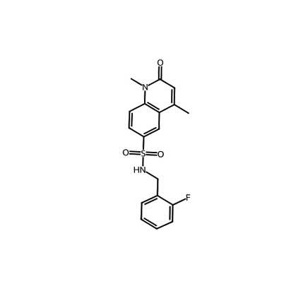 Cc1cc(=O)n(C)c2ccc(S(=O)(=O)NCc3ccccc3F)cc12